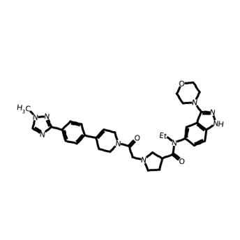 CCN(C(=O)C1CCN(CC(=O)N2CC=C(c3ccc(-c4ncn(C)n4)cc3)CC2)C1)c1ccc2[nH]nc(N3CCOCC3)c2c1